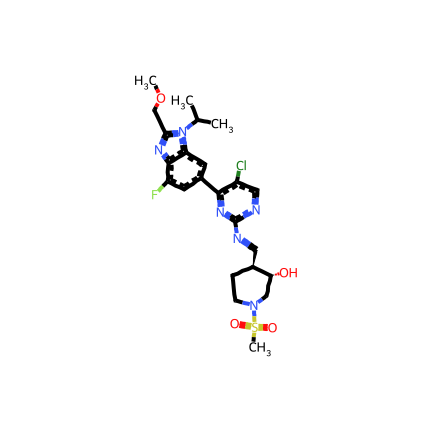 COCc1nc2c(F)cc(-c3nc(/N=C/[C@@H]4CCN(S(C)(=O)=O)C[C@H]4O)ncc3Cl)cc2n1C(C)C